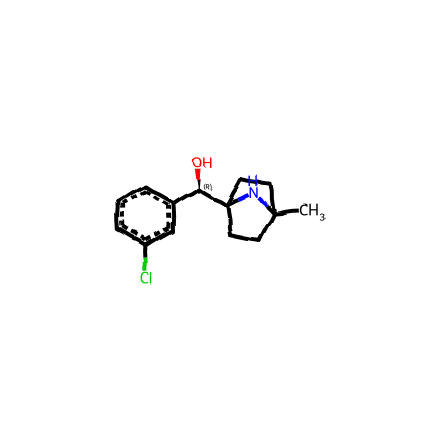 CC12CCC([C@H](O)c3cccc(Cl)c3)(CC1)N2